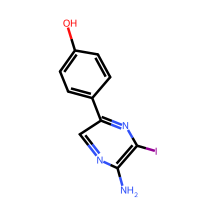 Nc1ncc(-c2ccc(O)cc2)nc1I